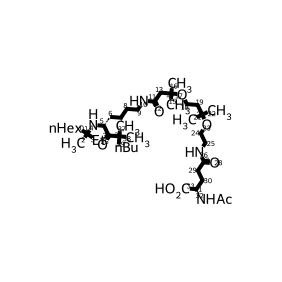 CCCCCCC(C)(CC)N[C@H](CCCCNC(=O)CC(C)(C)OCCC(C)(C)OCCNC(=O)CC[C@H](NC(C)=O)C(=O)O)C(=O)C(C)(C)CCCC